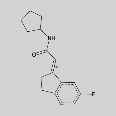 O=C(/C=C1\CCc2ccc(F)cc21)NC1CCCC1